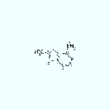 Bc1cccc2c1CC(C)=C2